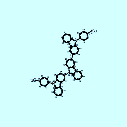 CC(C)(C)c1ccc(-n2c3ccccc3c3cc(-c4ccc5c(c4)c4ccccc4n5-c4ccc5c(c4)c4ccccc4n5-c4ccc(C(C)(C)C)cc4)ccc32)cc1